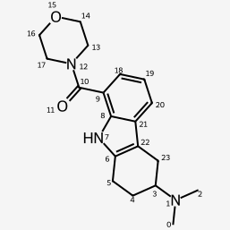 CN(C)C1CCc2[nH]c3c(C(=O)N4CCOCC4)cccc3c2C1